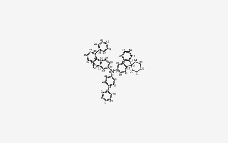 c1ccc(-c2ccc(N(c3ccc(C4(c5ccccc5)CCCCC4)cc3)c3ccc4c(c3)oc3cccc(-c5ccccc5)c34)cc2)cc1